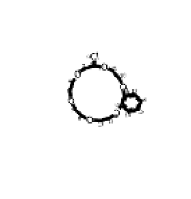 ClC1COCCOCCOCCOc2ccccc2OCCO1